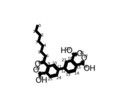 CCCCCCCC(=O)c1cc(-c2ccc(C(=O)O)c(C(=O)O)c2)ccc1C(=O)O